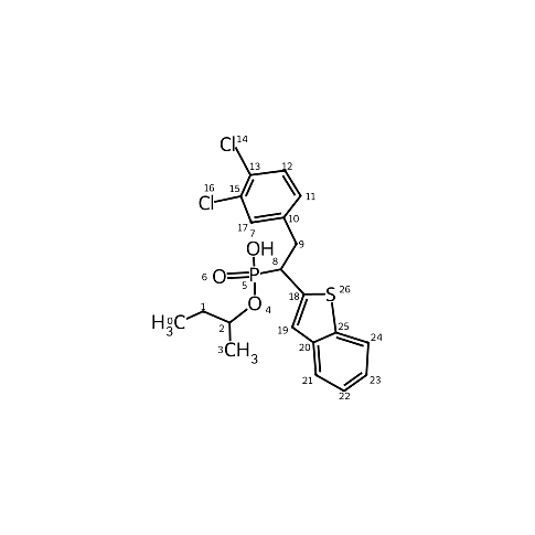 CCC(C)OP(=O)(O)C(Cc1ccc(Cl)c(Cl)c1)c1cc2ccccc2s1